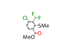 COC(=O)c1ccc(Cl)c(C(F)F)c1SC